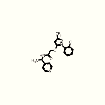 CC(NC(=O)COc1cc(C(F)(F)F)nn1-c1ccccc1Cl)c1ccncc1